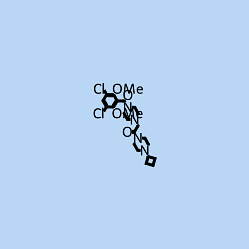 COc1c(Cl)cc(Cl)c(OC)c1C(=O)N1CCN(CC(=O)N2CCN(C3CCC3)CC2)CC1